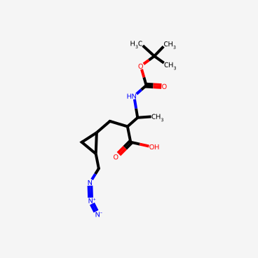 CC(NC(=O)OC(C)(C)C)C(CC1CC1CN=[N+]=[N-])C(=O)O